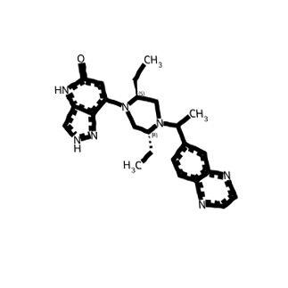 CC[C@H]1CN(C(C)c2ccc3nccnc3c2)[C@H](CC)CN1c1cc(=O)[nH]c2c[nH]nc12